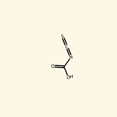 O=C(O)N=C=S